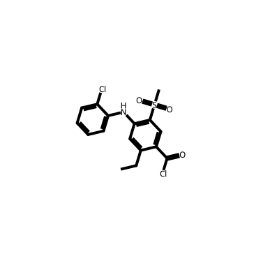 CCc1cc(Nc2ccccc2Cl)c(S(C)(=O)=O)cc1C(=O)Cl